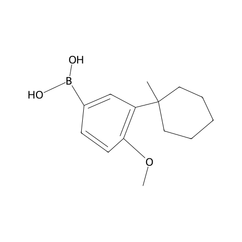 COc1ccc(B(O)O)cc1C1(C)CCCCC1